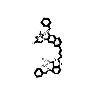 CN(C)C(=O)c1c(OCCC=Cc2ccc3cc(OCc4ccccc4)c(N4CC(=O)NS4(=O)=O)cc3c2)cccc1OCc1ccccc1